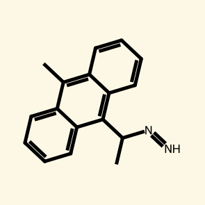 Cc1c2ccccc2c(C(C)N=N)c2ccccc12